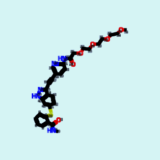 CNC(=O)c1ccccc1Sc1ccc2c(C#Cc3ccc(NC(=O)COCCOCCOCCOC)nc3)n[nH]c2c1